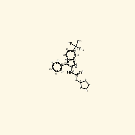 O=C(CC1CCCC1)Nc1nc2cc(C(F)(F)F)ccn2c1-c1ccccc1